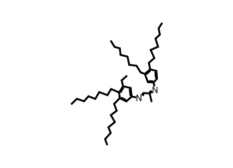 CCCCCCCCc1ccc(N=C(C)C=Nc2cc(CC)c(CCCCCCCC)c(CCCCCCCC)c2)cc1CCCCCCCC